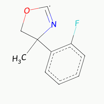 CC1(c2ccccc2F)CO[C]=N1